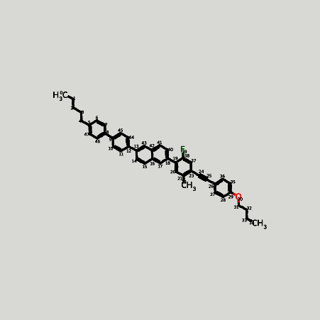 CCCCCc1ccc(-c2ccc(-c3ccc4cc(-c5cc(C)c(C#Cc6ccc(OCCCC)cc6)cc5F)ccc4c3)cc2)cc1